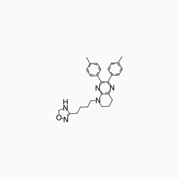 Cc1ccc(-c2nc3c(nc2-c2ccc(C)cc2)N(CCCCC2=NOCN2)CCC3)cc1